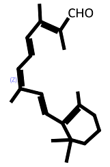 CC(C=O)=C(C)C=C/C=C(/C)C=CC1=C(C)CCCC1(C)C